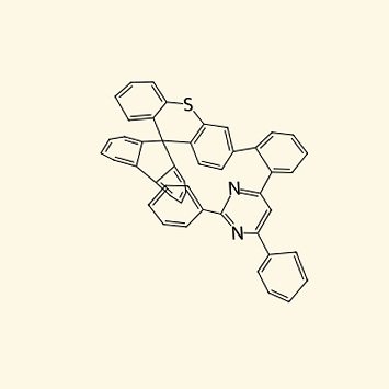 c1ccc(-c2cc(-c3ccccc3-c3ccc4c(c3)Sc3ccccc3C43c4ccccc4-c4ccccc43)nc(-c3ccccc3)n2)cc1